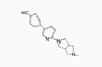 CN1CC2CN(c3ccc(-c4ccc(C#N)cc4)cn3)CC2C1